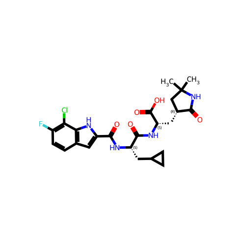 CC1(C)C[C@@H](C[C@H](NC(=O)[C@H](CC2CC2)NC(=O)c2cc3ccc(F)c(Cl)c3[nH]2)C(=O)O)C(=O)N1